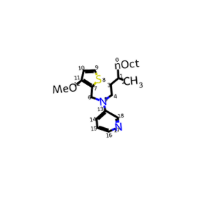 CCCCCCCCC(C)CCN(Cc1sccc1OC)c1cccnc1